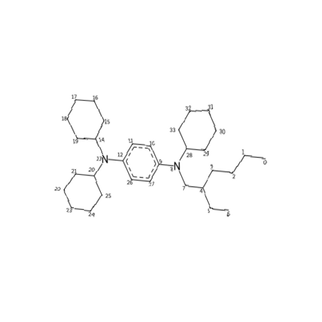 CCCCC(CC)CN(c1ccc(N(C2CCCCC2)C2CCCCC2)cc1)C1CCCCC1